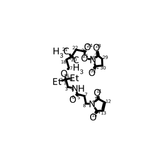 CCC(CC)(CNC(=O)CCN1C(=O)C=CC1=O)OCCC(C)(C)CC(=O)ON1C(=O)CCC1=O